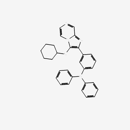 c1ccc(N(c2ccccc2)c2cccc(-c3nc4cnccn4c3NC3CCCCC3)c2)cc1